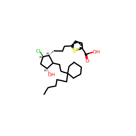 CCCCCC1(CCC2[C@H](O)C[C@@H](Cl)[C@@H]2CCCc2ccc(C(=O)O)s2)CCCCC1